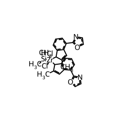 CC1=Cc2c(-c3ncco3)cccc2[CH]1[Zr]([Cl])([Cl])([CH]1C(C)=Cc2c(-c3ncco3)cccc21)[SiH](C)C